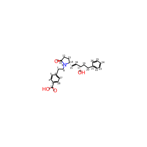 O=C(O)c1ccc(CCN2C(=O)CC[C@@H]2/C=C/[C@@H](O)CCc2ccccc2)cc1